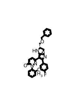 Cc1ccccc1-n1nc(-c2c(-c3ccc(F)cc3)nn3c2N[C@H](COCc2ccccc2)C3)ccc1=O